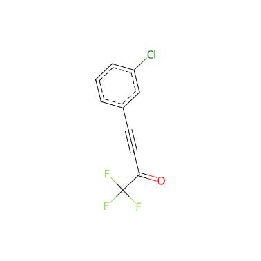 O=C(C#Cc1cccc(Cl)c1)C(F)(F)F